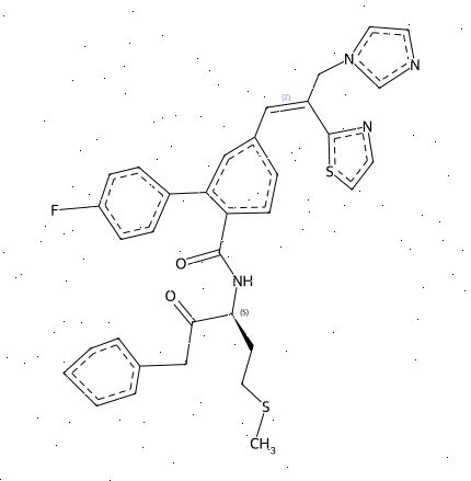 CSCC[C@H](NC(=O)c1ccc(/C=C(/Cn2ccnc2)c2nccs2)cc1-c1ccc(F)cc1)C(=O)Cc1ccccc1